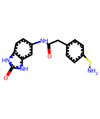 NSc1ccc(CC(=O)Nc2ccc3[nH]c(=O)[nH]c3c2)cc1